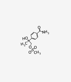 C[C@@](O)(COS(C)(=O)=O)c1ccc(C(N)=O)cc1